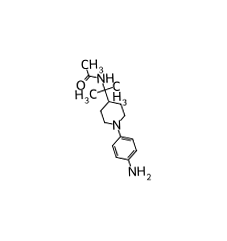 CC(=O)NC(C)(C)C1CCN(c2ccc(N)cc2)CC1